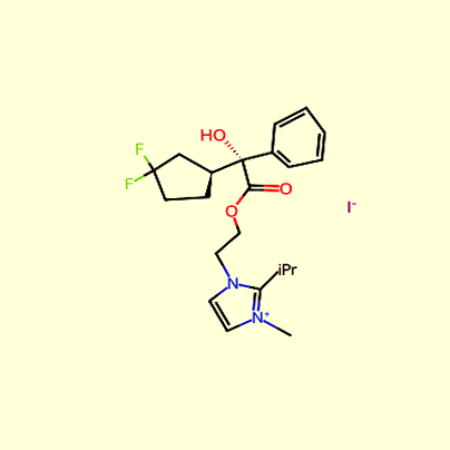 CC(C)c1n(CCOC(=O)[C@](O)(c2ccccc2)[C@H]2CCC(F)(F)C2)cc[n+]1C.[I-]